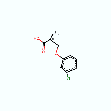 C[C@@H](COc1cccc(Cl)c1)C(=O)O